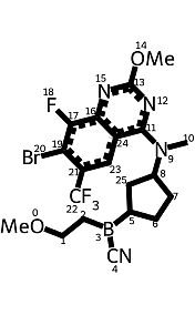 COCCB(C#N)C1CCC(N(C)c2nc(OC)nc3c(F)c(Br)c(C(F)(F)F)cc23)C1